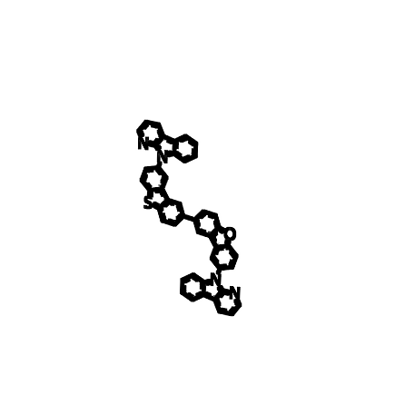 c1ccc2c(c1)c1cccnc1n2-c1ccc2oc3ccc(-c4ccc5sc6ccc(-n7c8ccccc8c8cccnc87)cc6c5c4)cc3c2c1